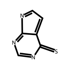 S=C1N=CN=C2N=CC=C12